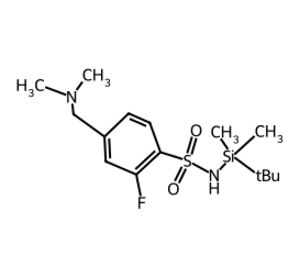 CN(C)Cc1ccc(S(=O)(=O)N[Si](C)(C)C(C)(C)C)c(F)c1